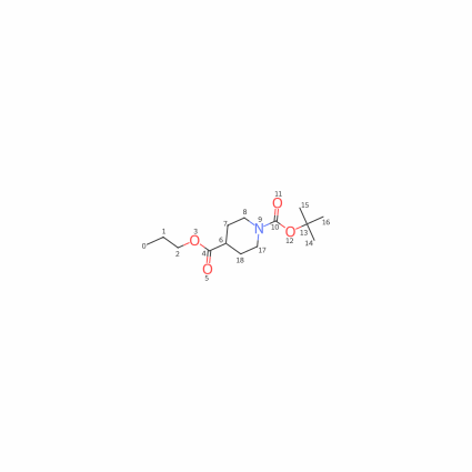 CCCOC(=O)C1CCN(C(=O)OC(C)(C)C)CC1